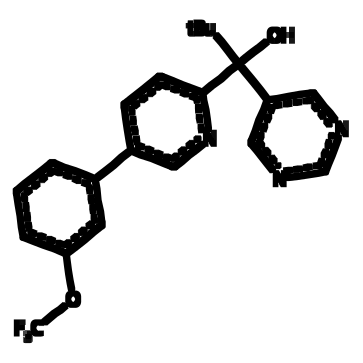 CC(C)(C)C(O)(c1cncnc1)c1ccc(-c2cccc(OC(F)(F)F)c2)cn1